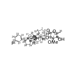 CO[C@H]1[C@H](O)[C@H](O[C@H]2CC[C@@]3(C)[C@H](CC[C@@H]4[C@@H]3CC[C@]3(C)[C@@H](c5cccc(F)c5)CC[C@]43O)C2)O[C@@H](C)[C@@H]1O